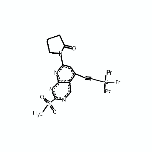 CC(C)[Si](C#Cc1cc(N2CCCC2=O)nc2nc(S(C)(=O)=O)ncc12)(C(C)C)C(C)C